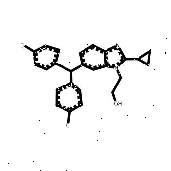 OCCn1c(C2CC2)nc2ccc(C(c3ccc(Cl)cc3)c3ccc(Cl)cc3)cc21